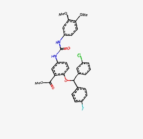 COC(=O)c1cc(NC(=O)Nc2ccc(OC)c(OC)c2)ccc1OC(c1ccc(F)cc1)c1cccc(Cl)c1